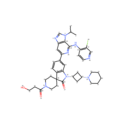 CC(C)n1cnc2cc(-c3ccc4c(c3)N([C@H]3C[C@@H](N5CCCCC5)C3)C(=O)C43CCN(C(=O)CCO)CC3)nc(Nc3ccncc3F)c21